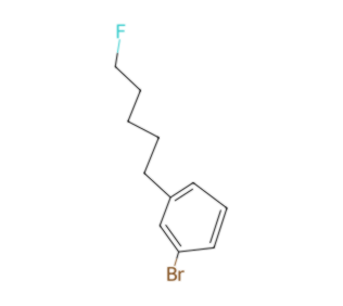 FCCCCCc1cccc(Br)c1